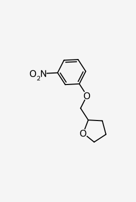 O=[N+]([O-])c1cccc(OCC2CCCO2)c1